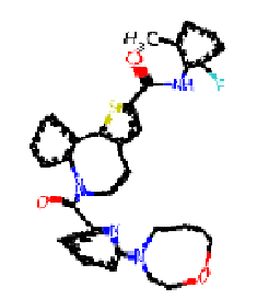 Cc1cccc(F)c1NC(=O)c1cc2c(s1)-c1ccccc1N(C(=O)c1cccc(N3CCCOCC3)n1)CC2